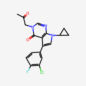 CC(=O)Cn1cnc2c(c(-c3ccc(F)c(Cl)c3)cn2C2CC2)c1=O